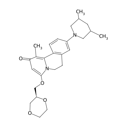 Cc1c2n(c(OC[C@@H]3COCCO3)cc1=O)CCc1cc(N3CC(C)CC(C)C3)ccc1-2